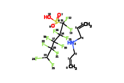 C=CCNCC=C.O=S(=O)(O)C(F)(F)C(F)(F)C(F)(F)C(F)(F)C(F)F